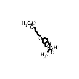 CCC1C(=O)NC2=Nc3ccc(OCCCCCOC(C)=O)cc3CN21